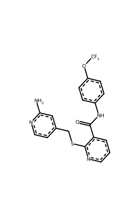 Nc1cc(CSc2ncccc2C(=O)Nc2ccc(OC(F)(F)F)cc2)ccn1